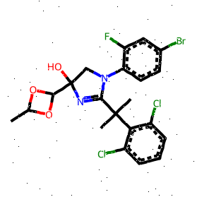 CC1OC(C2(O)CN(c3ccc(Br)cc3F)C(C(C)(C)c3c(Cl)cccc3Cl)=N2)O1